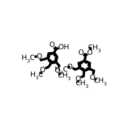 COCc1cc(C(=O)O)cc(COC)c1COC.COCc1cc(C(=O)OC)cc(COC)c1COC